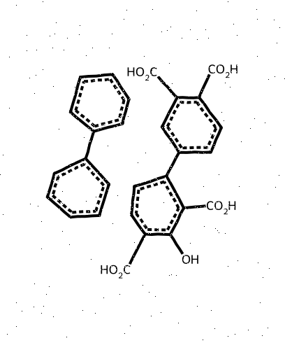 O=C(O)c1ccc(-c2ccc(C(=O)O)c(O)c2C(=O)O)cc1C(=O)O.c1ccc(-c2ccccc2)cc1